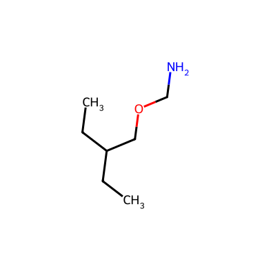 CCC(CC)COCN